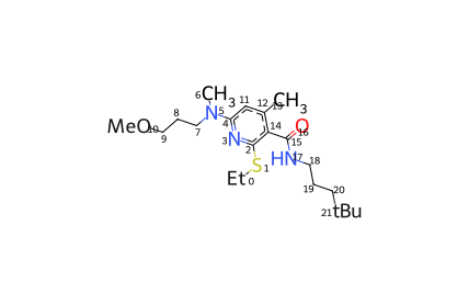 CCSc1nc(N(C)CCCOC)cc(C)c1C(=O)NCCCC(C)(C)C